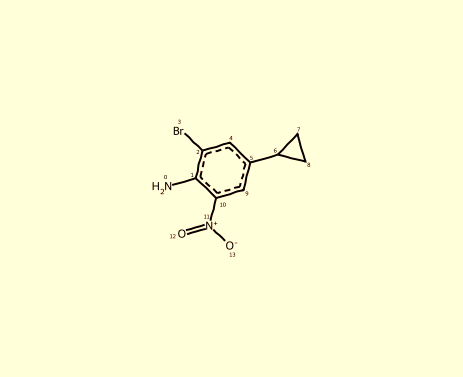 Nc1c(Br)cc(C2CC2)cc1[N+](=O)[O-]